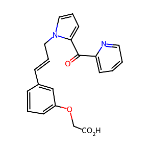 O=C(O)COc1cccc(/C=C/Cn2cccc2C(=O)c2ccccn2)c1